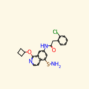 NSc1cc(NC(=O)Cc2ccccc2Cl)cc2c(OC3CCC3)nccc12